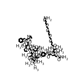 CC[C@H](C)[C@@H]([C@@H](CC(=O)N1CCC[C@H]1[C@H](OC)[C@@H](C)C(=O)N[C@@H](Cc1ccccc1)c1nccs1)OC)N(C)C(=O)[C@@H](NC(=O)[C@H](C(C)C)N(C)C(=O)COc1ccc(NC(=O)[C@H](CCCNC(N)=O)NC(=O)[C@@H](NC(=O)CCOCCOCCOCCOCCON)C(C)C)cc1)C(C)C